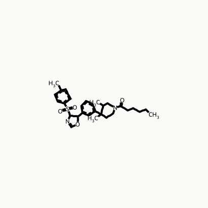 CCCCCC(=O)N1CCC(C)(c2cccc(C3OC=NC3S(=O)(=O)c3ccc(C)cc3)c2)C(C)C1